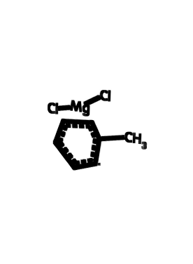 Cc1[c]cccc1.[Cl][Mg][Cl]